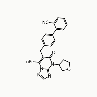 CCCc1c(Cc2ccc(-c3ccccc3C#N)cc2)c(=O)n(C2CCOC2)c2ncnn12